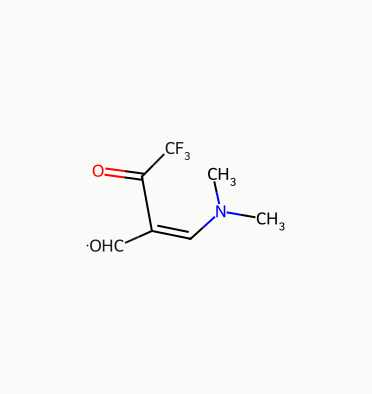 CN(C)C=C([C]=O)C(=O)C(F)(F)F